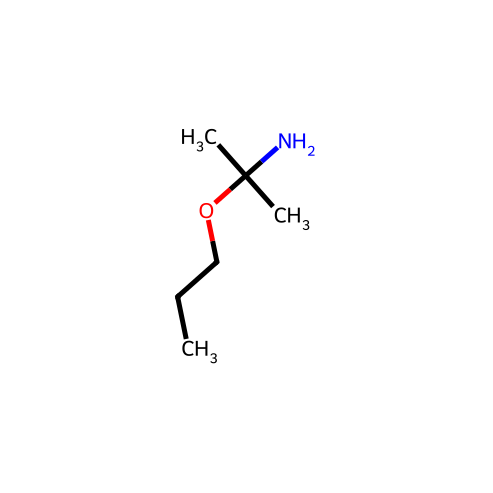 CCCOC(C)(C)N